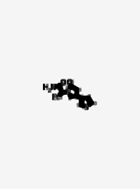 CCC(C(N)=O)N1CC(c2ccsc2)CC1=O